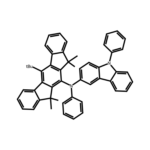 CC(C)(C)c1c2c(c(N(c3ccccc3)c3ccc4c(c3)c3ccccc3n4-c3ccccc3)c3c1-c1ccccc1C3(C)C)C(C)(C)c1ccccc1-2